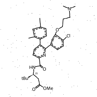 COC(=O)C[C@H](NC(=O)c1ccc(-c2ccc(C)cc2C)c(-c2ccc(Cl)c(OCCCN(C)C)c2)n1)C(C)(C)C